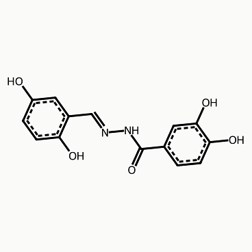 O=C(NN=Cc1cc(O)ccc1O)c1ccc(O)c(O)c1